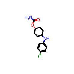 NC(=O)OC1CCC(Nc2ccc(Cl)cc2)CC1